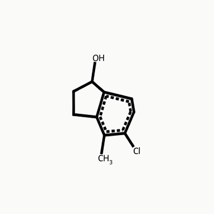 Cc1c(Cl)ccc2c1CCC2O